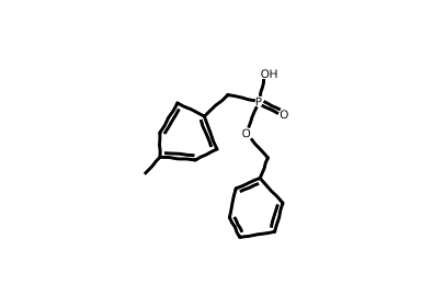 Cc1ccc(CP(=O)(O)OCc2ccccc2)cc1